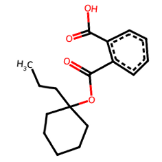 CCCC1(OC(=O)c2ccccc2C(=O)O)CCCCC1